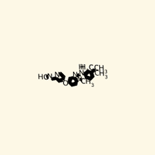 Cn1c(Nc2cccc(C(C)(C)C)c2)nc2cc(Oc3ccnc(C=NO)c3)ccc21